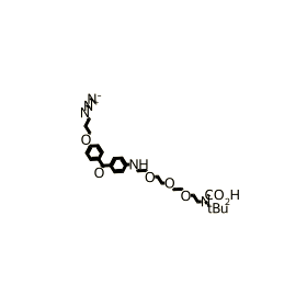 CC(C)(C)N(CCOCCOCCOCCNc1ccc(C(=O)c2ccc(OCCCN=[N+]=[N-])cc2)cc1)C(=O)O